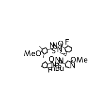 CCCCN(C(=O)c1ccccc1F)c1nnc(-c2ccnc(OC)c2)s1.COc1c(C)cc(-c2nnc(N(CC3CC3)C(=O)c3ccccc3F)s2)cc1C